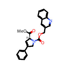 COC(=O)[C@@H]1C=C(c2ccccc2)CN1C(=O)OCc1cnc2ccccc2c1